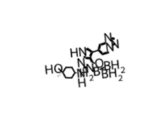 BC(B)(B)Oc1nc(N[C@H]2CC[C@](C)(O)CC2)nc2[nH]cc(-c3ccn4ncnc4c3)c12